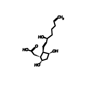 C=CCCC[C@H](O)C=C[C@@H]1[C@@H](CC(=O)O)[C@@H](O)C[C@H]1O